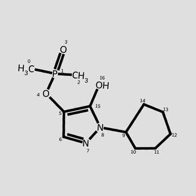 CP(C)(=O)Oc1cnn(C2CCCCC2)c1O